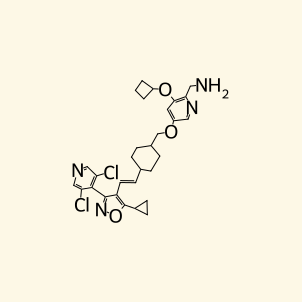 NCc1ncc(OCC2CCC(/C=C/c3c(-c4c(Cl)cncc4Cl)noc3C3CC3)CC2)cc1OC1CCC1